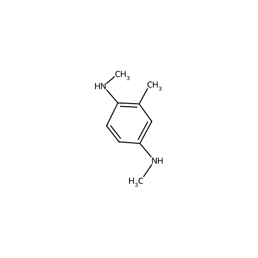 CNc1ccc(NC)c(C)c1